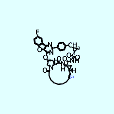 Cc1ccc(-c2nc(O[C@@H]3C[C@H]4C(=O)N[C@]5(C(=O)NS(=O)(=O)C6CC6)C[C@H]5/C=C\CCCCCCC(=O)N4C3)c3oc4ccc(F)cc4c3n2)cc1